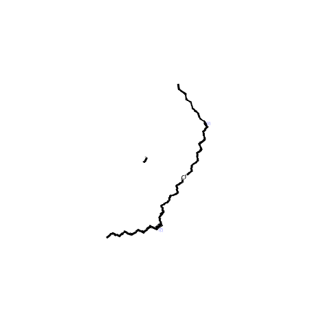 CC.CCCCCCCC/C=C\CCCCCCCCOCCCCCCCC/C=C\CCCCCCCC